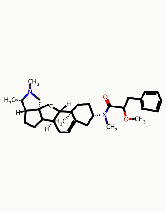 COC(Cc1ccccc1)C(=O)N(C)[C@H]1CC[C@@]2(C)C(=CC[C@H]3C4CC[C@@H]5[C@H](C)N(C)C[C@]45CC[C@@H]32)C1